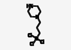 Cl[Si](Cl)(Cl)CCCN1CCNCC1